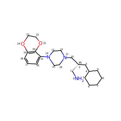 NC[C@@H](CC1CCCCC1)CN1CCN(c2cccc3c2OCCO3)CC1